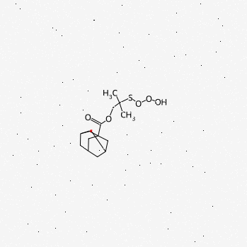 CC(C)(COC(=O)C12CC3CC(CC(C3)C1)C2)SOOO